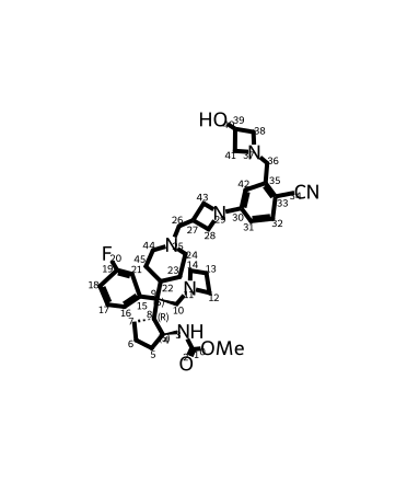 COC(=O)N[C@H]1CCC[C@@H]1[C@](CN1CCC1)(c1cccc(F)c1)C1CCN(CC2CN(c3ccc(C#N)c(CN4CC(O)C4)c3)C2)CC1